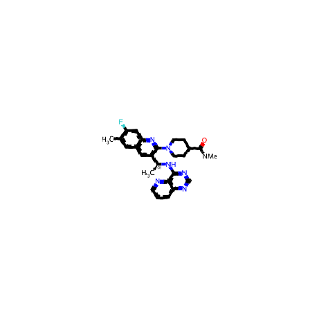 CNC(=O)C1CCN(c2nc3cc(F)c(C)cc3cc2[C@H](C)Nc2ncnc3cccnc23)CC1